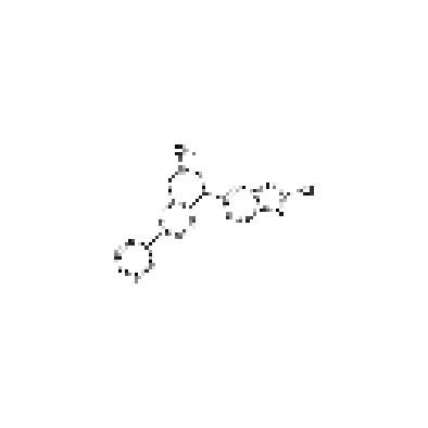 CN1Cc2cc(-c3cccnn3)ccc2C(c2ccc3sc(Cl)cc3c2)C1